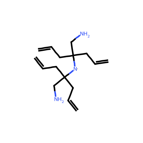 C=CCC(CN)(CC=C)[N]C(CN)(CC=C)CC=C